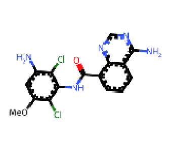 COc1cc(N)c(Cl)c(NC(=O)c2cccc3c(N)ncnc23)c1Cl